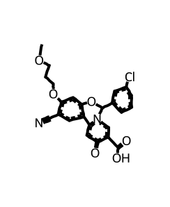 COCCCOc1cc2c(cc1C#N)-c1cc(=O)c(C(=O)O)cn1C(c1cccc(Cl)c1)O2